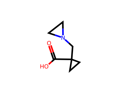 O=C(O)C1(CN2CC2)CC1